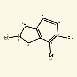 CCN1Cc2c(ccc(F)c2Br)S1